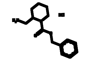 Cl.NCC1CCCCN1C(=O)OCc1ccccc1